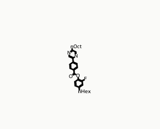 CCCCCCCCc1cnc(-c2ccc(C(=O)Oc3ccc(CCCCCC)cc3F)cc2)cn1